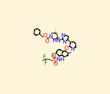 Cc1ccc2c(NS(=O)(=O)CCC(C)(F)F)c(F)ccc2c1Oc1ncccc1-c1ccnc(N[C@H]2C[C@@H](C)CN(C(=O)OCc3ccccc3)C2)n1